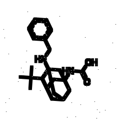 CC(C)(C)C1C2CC3CC(NC(=O)O)(C2)CC1(NCc1ccccc1)C3